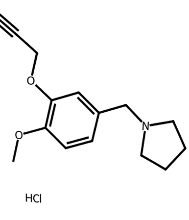 C#CCOc1cc(CN2CCCC2)ccc1OC.Cl